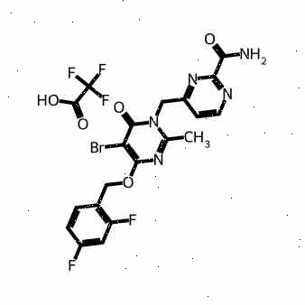 Cc1nc(OCc2ccc(F)cc2F)c(Br)c(=O)n1Cc1ccnc(C(N)=O)n1.O=C(O)C(F)(F)F